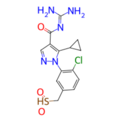 NC(N)=NC(=O)c1cnn(-c2cc(C[SH](=O)=O)ccc2Cl)c1C1CC1